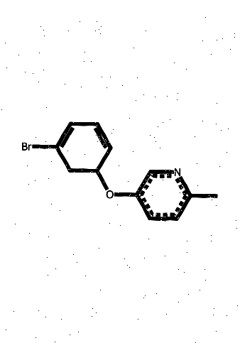 Cc1ccc(OC2C=CC=C(Br)C2)cn1